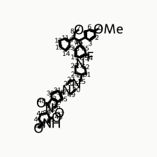 COc1ccc2c(c1)OCC(c1ccccc1)[C@@H]2c1ccc(N2CCC(CN3CCN(c4ccc5c(c4)C(=O)N(C4CCC(=O)NC4=O)C5=O)CC3)CC2)c(F)c1